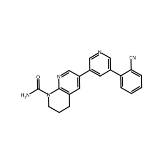 N#Cc1ccccc1-c1cncc(-c2cnc3c(c2)CCCN3C(N)=O)c1